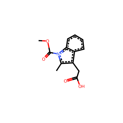 COC(=O)n1c(C)c(CC(=O)O)c2ccccc21